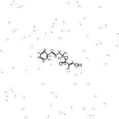 CC(=CO)C(=O)OC(C)(C)CC=Cc1ccccc1